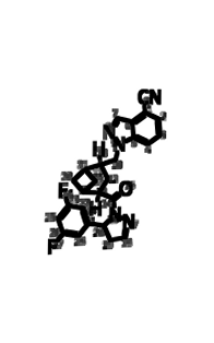 N#Cc1cccc2c1cnn2C[C@@H]1C[C@H](C(=O)N2N=CCC2c2cc(F)cc(F)c2)C2CC1C2